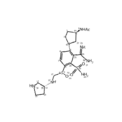 CC(=O)N[C@@H]1CCN(c2ccc([S+]([O-])CN[C@@H]3CCNC3)c(S(N)(=O)=O)c2C(=N)N)C1